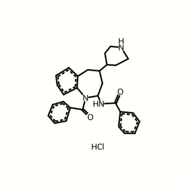 Cl.O=C(NC1CC(C2CCNCC2)Cc2ccccc2N1C(=O)c1ccccc1)c1ccccc1